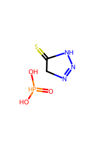 O=[PH](O)O.S=C1CN=NN1